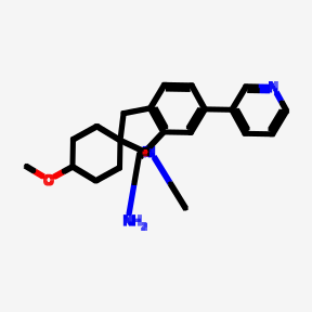 COC1CCC2(CC1)Cc1ccc(-c3cccnc3)cc1C21CN(C)C(N)=N1